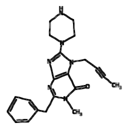 CC#CCn1c(N2CCNCC2)nc2nc(Cc3ccccc3)n(C)c(=O)c21